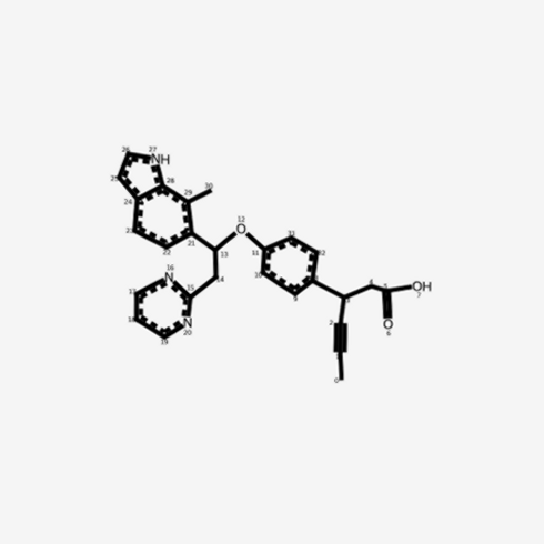 CC#CC(CC(=O)O)c1ccc(OC(Cc2ncccn2)c2ccc3cc[nH]c3c2C)cc1